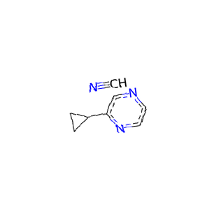 C#N.c1cnc(C2CC2)cn1